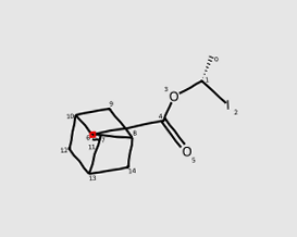 C[C@H](I)OC(=O)C1=C2C3CC(C1)CC2C3